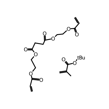 C=C(C)C(=O)OC(C)(C)C.C=CC(=O)OCCOC(=O)CCC(=O)OCCOC(=O)C=C